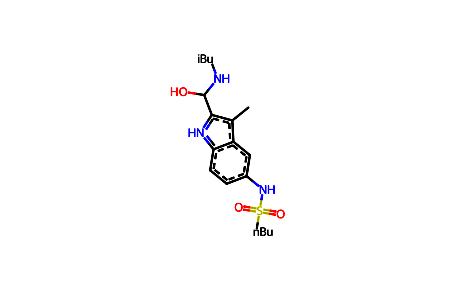 CCCCS(=O)(=O)Nc1ccc2[nH]c(C(O)NC(C)CC)c(C)c2c1